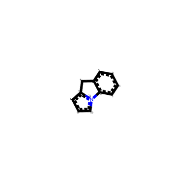 c1ccc2c(c1)Cc1cccn1-2